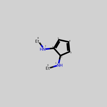 CCN[C]1C=CC=C1NCC